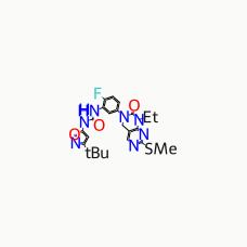 CCN1C(=O)N(c2ccc(F)c(NC(=O)Nc3cc(C(C)(C)C)no3)c2)Cc2cnc(SC)nc21